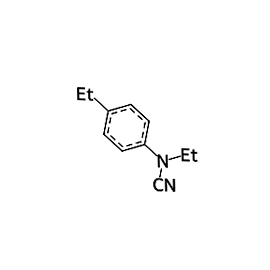 CCc1ccc(N(C#N)CC)cc1